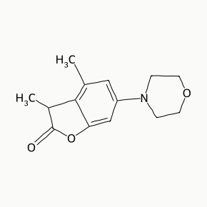 Cc1cc(N2CCOCC2)cc2c1C(C)C(=O)O2